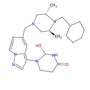 C[C@H]1CN(Cc2ccn3ncc(N4CCC(=O)NC4O)c3c2)C[C@H](C)N1CC1CCCCC1